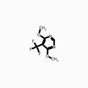 COc1ncnc(OC)c1C(F)(F)F